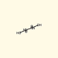 O=C(CCCCCO)NCCCCNC(=O)CCCCCO